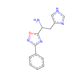 NC(Cc1c[nH]cn1)c1nc(-c2ccccc2)no1